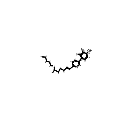 CCCCCOC(C)CCC/C=C/c1ccc(-c2ccc(O)c(F)c2F)cn1